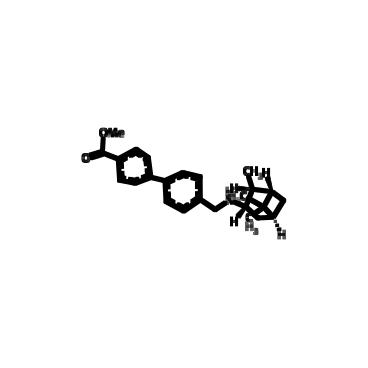 COC(=O)c1ccc(-c2ccc(CN[C@H]3C[C@@H]4C[C@@H]([C@H]3C)C4(C)C)cc2)cc1